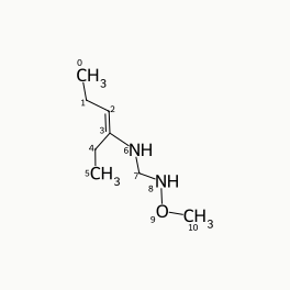 CC/C=C(\CC)NCNOC